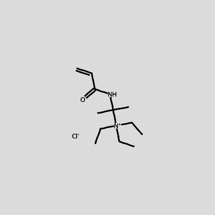 C=CC(=O)NC(C)(C)[N+](CC)(CC)CC.[Cl-]